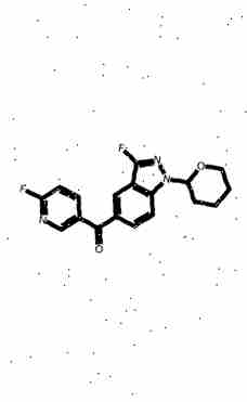 O=C(c1ccc(F)nc1)c1ccc2c(c1)c(F)nn2C1CCCCO1